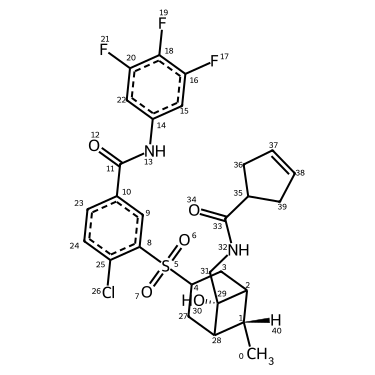 C[C@H]1C2CC(S(=O)(=O)c3cc(C(=O)Nc4cc(F)c(F)c(F)c4)ccc3Cl)CC1[C@@]2(O)CNC(=O)C1CC=CC1